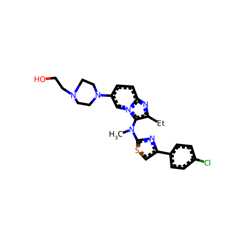 CCc1nc2ccc(N3CCN(CCO)CC3)cn2c1N(C)c1nc(-c2ccc(Cl)cc2)cs1